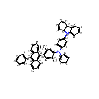 Cc1cc(N(c2ccccc2)c2ccc(N3c4ccccc4C4C=CC=CC43)cc2)c(C)cc1-c1c2ccccc2c(-c2ccccc2)c2ccccc12